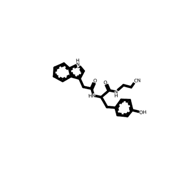 N#CCCNC(=O)C(Cc1ccc(O)cc1)NC(=O)Cc1c[nH]c2ccccc12